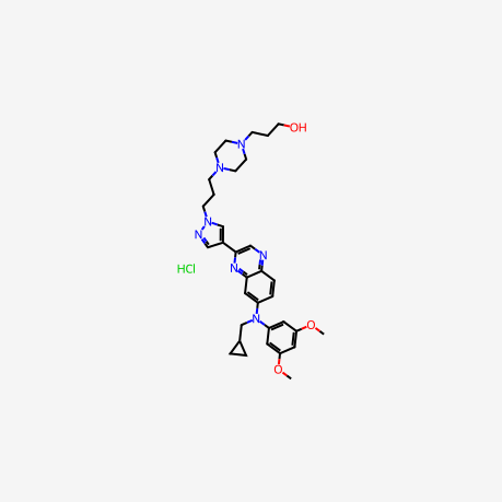 COc1cc(OC)cc(N(CC2CC2)c2ccc3ncc(-c4cnn(CCCN5CCN(CCCO)CC5)c4)nc3c2)c1.Cl